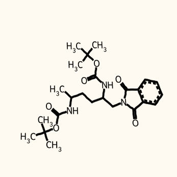 CC(CCC(CN1C(=O)c2ccccc2C1=O)NC(=O)OC(C)(C)C)NC(=O)OC(C)(C)C